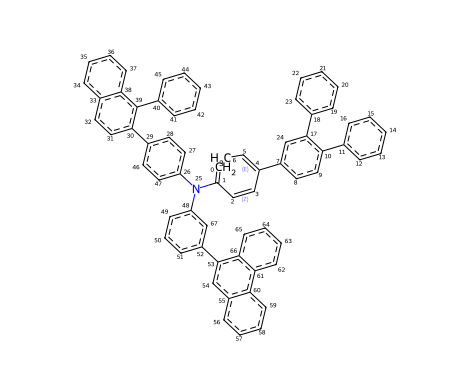 C=C(/C=C\C(=C/C)c1ccc(-c2ccccc2)c(-c2ccccc2)c1)N(c1ccc(-c2ccc3ccccc3c2-c2ccccc2)cc1)c1cccc(-c2cc3ccccc3c3ccccc23)c1